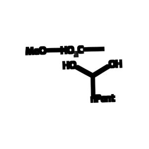 CC(=O)O.CCCCCC(O)O.COC